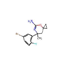 CC1(c2cc(Br)ccc2F)CC2(CC2)OC(N)=N1